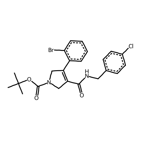 CC(C)(C)OC(=O)N1CC(C(=O)NCc2ccc(Cl)cc2)=C(c2ccccc2Br)C1